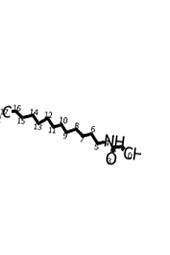 C=CC(=O)NCCCCCCCCCCCCC(=O)O